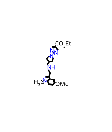 CCOC(=O)c1cnc(N2CCC(CNCCc3cn(C)c4ccc(OC)cc34)CC2)nc1